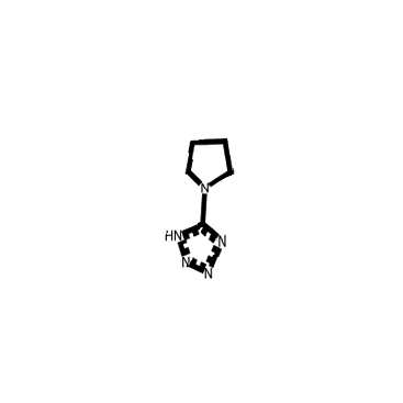 C1CCN(c2nnn[nH]2)C1